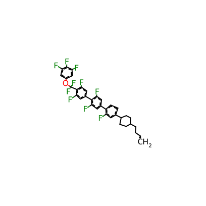 C=CCCC1CCC(c2ccc(-c3cc(F)c(-c4cc(F)c(C(F)(F)Oc5cc(F)c(F)c(F)c5)c(F)c4)c(F)c3)c(F)c2)CC1